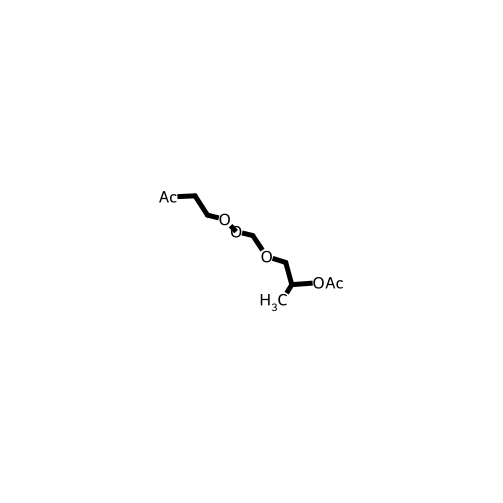 CC(=O)CCOOCOCC(C)OC(C)=O